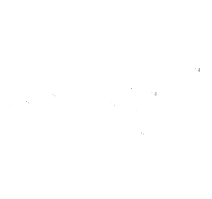 CC(=O)N1CCN(c2ccc(Oc3ncc(C(N)=O)c(NCC4CCNCC4)n3)cc2)CC1